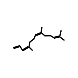 C=CC=C(C)CCC=C(C)CCC=C(C)C